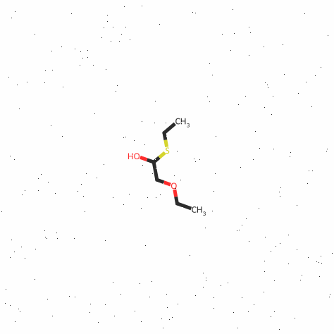 CCOCC(O)SCC